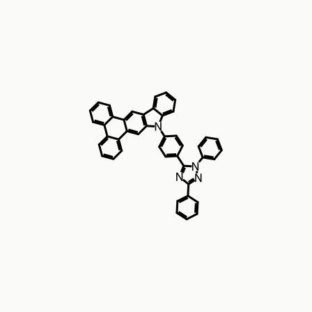 c1ccc(-c2nc(-c3ccc(-n4c5ccccc5c5cc6c7ccccc7c7ccccc7c6cc54)cc3)n(-c3ccccc3)n2)cc1